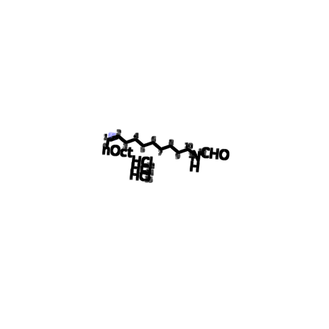 CCCCCCCC/C=C\CCCCCCCCNC=O.Cl.Cl.Cl